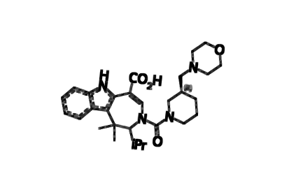 CC(C)C1N(C(=O)N2CCC[C@H](CN3CCOCC3)C2)C=C(C(=O)O)c2[nH]c3ccccc3c2C1(C)C